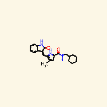 Cc1cc(C(=O)NCC2CCCCC2)[nH]c1/C=C1\C(=O)Nc2ccccc21